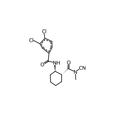 CN(C#N)C(=O)[C@@H]1CCCC[C@H]1NC(=O)c1ccc(Cl)c(Cl)c1